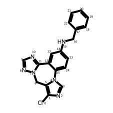 Clc1ncn2c1Cn1ncnc1-c1cc(NCc3ccccc3)ccc1-2